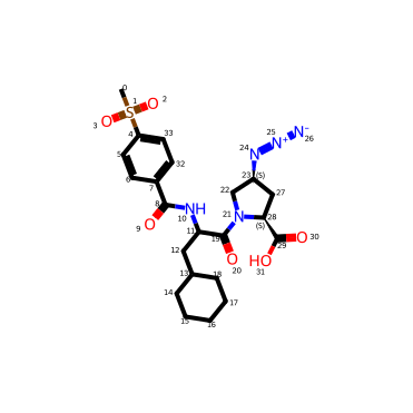 CS(=O)(=O)c1ccc(C(=O)NC(CC2CCCCC2)C(=O)N2C[C@@H](N=[N+]=[N-])C[C@H]2C(=O)O)cc1